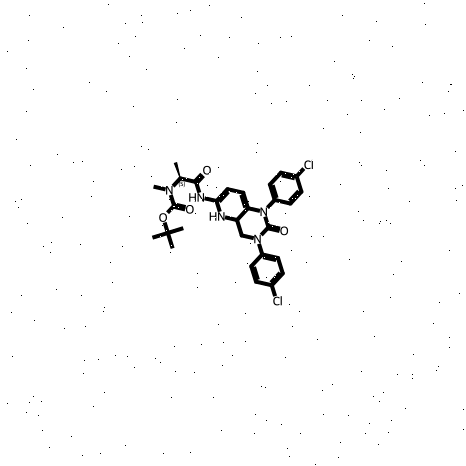 C[C@@H](C(=O)NC1=CC=C2C(CN(c3ccc(Cl)cc3)C(=O)N2c2ccc(Cl)cc2)N1)N(C)C(=O)OC(C)(C)C